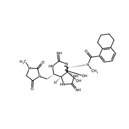 CN1CC(=O)N(C[C@@H]2NC(=N)N3C[C@H](N(C)C(=O)c4cccc5c4CCCC5)C(O)(O)[C@@]34NC(=N)N[C@@H]24)C1=O